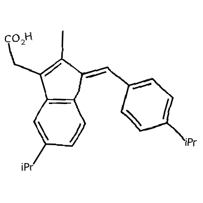 CC1=C(CC(=O)O)c2cc(C(C)C)ccc2C1=Cc1ccc(C(C)C)cc1